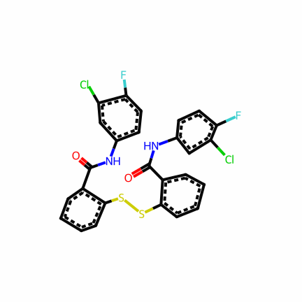 O=C(Nc1ccc(F)c(Cl)c1)c1ccccc1SSc1ccccc1C(=O)Nc1ccc(F)c(Cl)c1